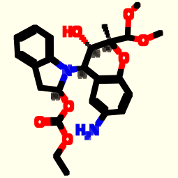 CCOC(=O)O[C@H]1Cc2ccccc2N1[C@@H]1c2cc(N)ccc2O[C@](C)(C(OC)OC)[C@H]1O